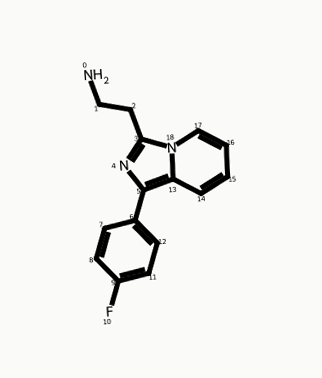 NCCc1nc(-c2ccc(F)cc2)c2ccccn12